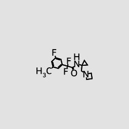 Cc1cc(F)cc(C(F)(F)C(=O)NC2(CN3CCC3)CC2)c1